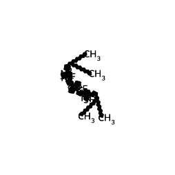 CCCCCCCCCCC(CCCCCCCC)Cc1ccc(-c2cc(F)c(-c3ccc(-c4c5ccsc5c(-c5ccc(-c6c(F)cc(-c7ccc(CC(CCCCCCCC)CCCCCCCCCC)s7)c7nsnc67)s5)c5ccsc45)s3)c3nsnc23)s1